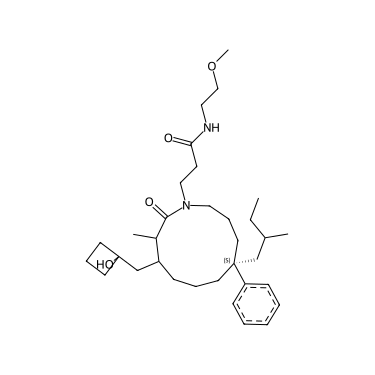 CCC(C)C[C@]1(c2ccccc2)CCCC(CC2(O)CCC2)C(C)C(=O)N(CCC(=O)NCCOC)CCC1